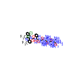 N=C(N)NC(NC(=O)C(NC(=N)N)NC(=O)C(NC(=N)N)NC(=O)C(NC(=N)N)NC(=O)C(NC(=O)C(O)N(Cc1c(Cl)cccc1Cl)c1cc(C(F)(F)F)nc2c(C(F)(F)F)cccc12)c1ccccc1)C(N)=O